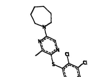 Cc1nc(N2CCCCCC2)cnc1Sc1cccc(Cl)c1Cl